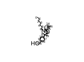 CCCCCCCN(CC1(c2ccc(CO)cc2)CC1)C(=O)OC(C)(C)C